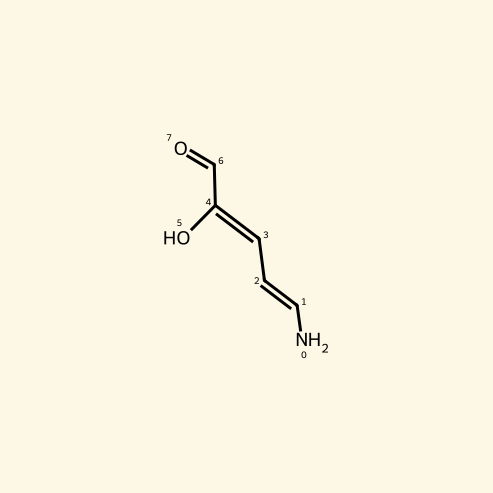 NC=CC=C(O)C=O